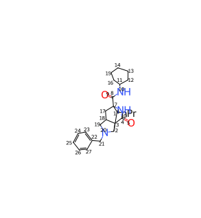 CCCC1C2C3C(=O)NC1(C(=O)NC1CCCCC1)CC3CN2Cc1ccccc1